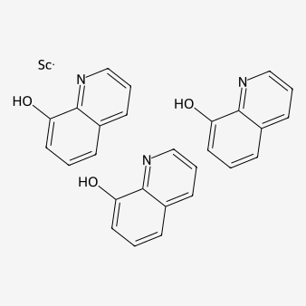 Oc1cccc2cccnc12.Oc1cccc2cccnc12.Oc1cccc2cccnc12.[Sc]